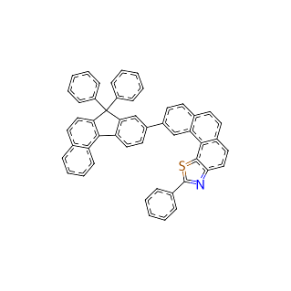 c1ccc(-c2nc3ccc4ccc5ccc(-c6ccc7c(c6)C(c6ccccc6)(c6ccccc6)c6ccc8ccccc8c6-7)cc5c4c3s2)cc1